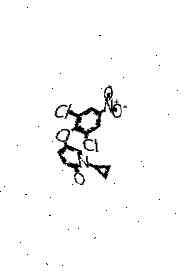 O=c1ccc(Oc2c(Cl)cc([N+](=O)[O-])cc2Cl)cn1C1CC1